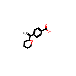 C=C(c1ccc(C(=O)O)cc1)C1CCCCO1